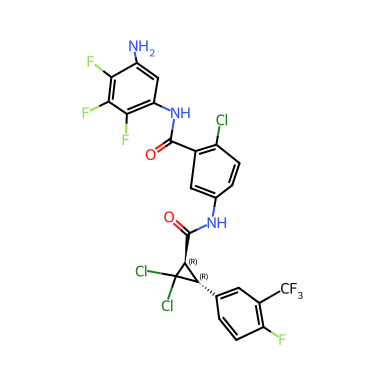 Nc1cc(NC(=O)c2cc(NC(=O)[C@H]3[C@H](c4ccc(F)c(C(F)(F)F)c4)C3(Cl)Cl)ccc2Cl)c(F)c(F)c1F